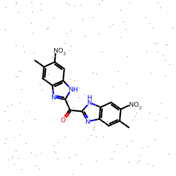 Cc1cc2nc(C(=O)c3nc4cc(C)c([N+](=O)[O-])cc4[nH]3)[nH]c2cc1[N+](=O)[O-]